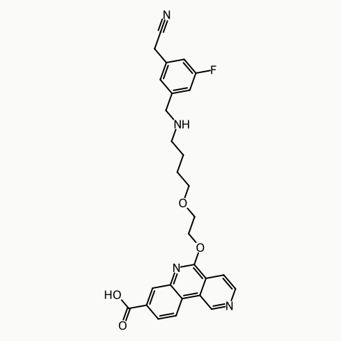 N#CCc1cc(F)cc(CNCCCCOCCOc2nc3cc(C(=O)O)ccc3c3cnccc23)c1